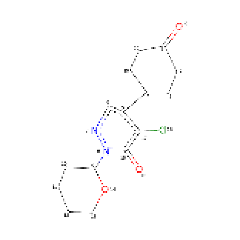 O=C1CCC(c2cnn(C3CCCCO3)c(=O)c2Cl)CC1